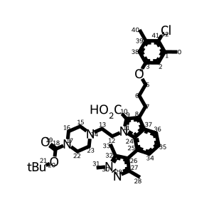 Cc1cc(OCCCc2c(C(=O)O)n(CCN3CCN(C(=O)OC(C)(C)C)CC3)c3c(-c4c(C)nn(C)c4C)cccc23)cc(C)c1Cl